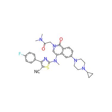 CN(C)C(=O)Cn1cc(N(C)c2nc(-c3ccc(F)cc3)c(C#N)s2)c2cc(N3CCN(C4CC4)CC3)ccc2c1=O